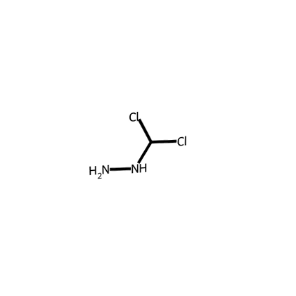 NNC(Cl)Cl